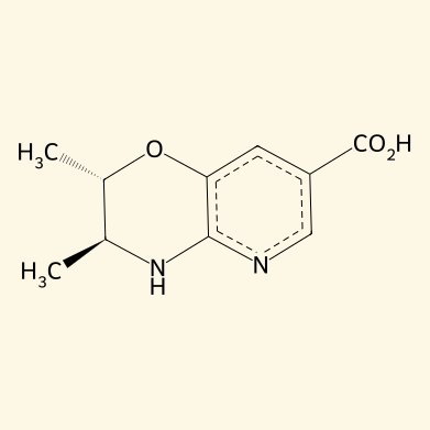 C[C@@H]1Nc2ncc(C(=O)O)cc2O[C@H]1C